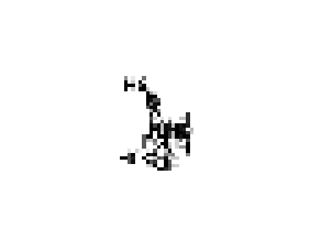 C#Cc1c(F)ccc2cc(O)cc(-c3ncc4c(N5C[C@H]6CC[C@@H](C5)N6)nc(OCC56CCC(C#C)(CC5)CC6)nc4c3F)c12